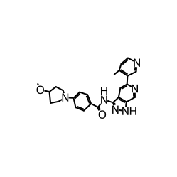 COC1CCN(c2ccc(C(=O)Nc3n[nH]c4cnc(-c5cnccc5C)cc34)cc2)CC1